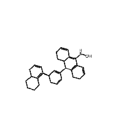 OBC1=C2C=CCCC2C(C2=CC(C3=C4CCCCC4CC=C3)CC=C2)C2=C1C=CCC2